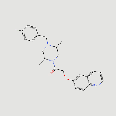 CC1CN(C(=O)COc2ccc3ncccc3c2)C(C)CN1Cc1ccc(F)cc1